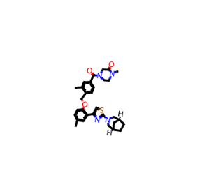 Cc1ccc(OCc2ccc(C(=O)N3CCN(C)C(=O)C3)cc2C)c(-c2csc(N3C[C@@H]4CC[C@@H](C4)C3)n2)c1